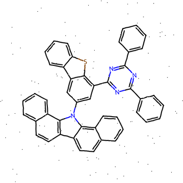 c1ccc(-c2nc(-c3ccccc3)nc(-c3cc(-n4c5c6ccccc6ccc5c5ccc6ccccc6c54)cc4c3sc3ccccc34)n2)cc1